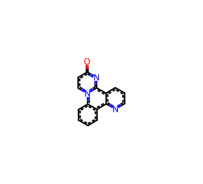 O=c1ccn2c3ccccc3c3ncccc3c2n1